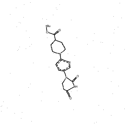 CC(C)(C)OC(=O)C1CCN(c2ccc(N3CCC(=O)NC3=O)cn2)CC1